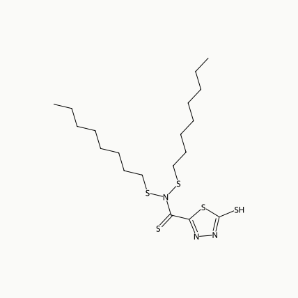 CCCCCCCCSN(SCCCCCCCC)C(=S)c1nnc(S)s1